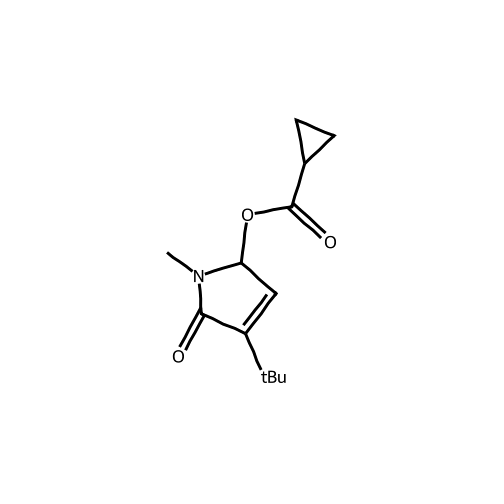 CN1C(=O)C(C(C)(C)C)=CC1OC(=O)C1CC1